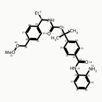 CC[C@@H](NC(=O)OC(C)(C)c1ccc(C(=O)Nc2ccccc2N)cc1)c1ccc(COOC)cc1